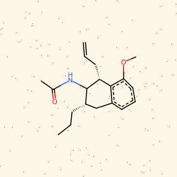 C=CC[C@@H]1c2c(cccc2OC)C[C@H](CCC)C1NC(C)=O